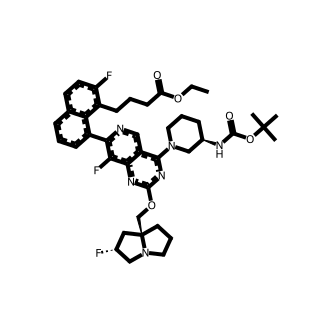 CCOC(=O)CCCc1c(F)ccc2cccc(-c3ncc4c(N5CCC[C@@H](NC(=O)OC(C)(C)C)C5)nc(OC[C@@]56CCCN5C[C@H](F)C6)nc4c3F)c12